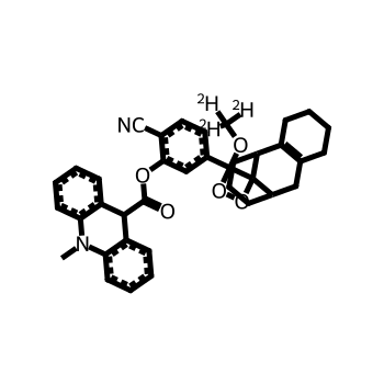 [2H]C([2H])([2H])OC1(c2ccc(C#N)c(OC(=O)C3c4ccccc4N(C)c4ccccc43)c2)OOC12C1CCCC2C2=C(CCCC2)C1